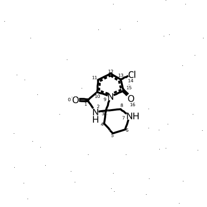 O=C1NC2(CCCNC2)n2c1ccc(Cl)c2=O